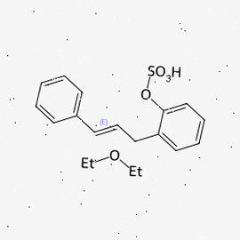 CCOCC.O=S(=O)(O)Oc1ccccc1C/C=C/c1ccccc1